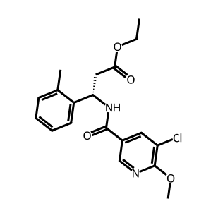 CCOC(=O)C[C@H](NC(=O)c1cnc(OC)c(Cl)c1)c1ccccc1C